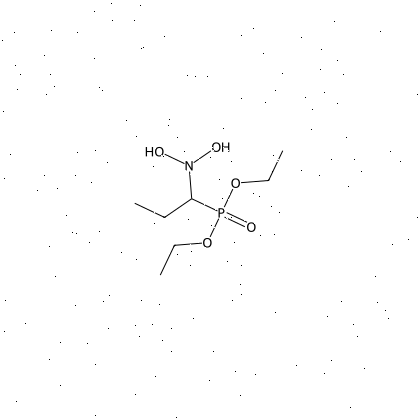 CCOP(=O)(OCC)C(CC)N(O)O